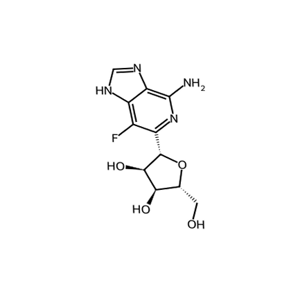 Nc1nc([C@@H]2O[C@H](CO)[C@@H](O)[C@H]2O)c(F)c2[nH]cnc12